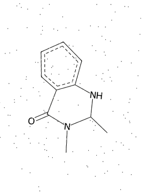 CC1Nc2ccccc2C(=O)N1C